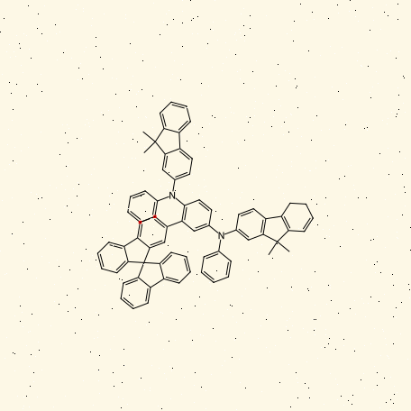 CC1(C)C2=C(CCC=C2)c2ccc(N(c3ccccc3)c3ccc(N(c4ccccc4)c4ccc5c(c4)C(C)(C)c4ccccc4-5)c(-c4ccc5c(c4)C4(c6ccccc6-c6ccccc64)c4ccccc4-5)c3)cc21